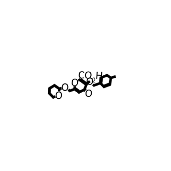 CC1C=CC(COc2c(C(=O)O)oc(COC3CCCCO3)cc2=O)=CC1